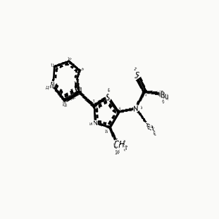 CCC(C)C(=S)N(CC)c1sc(-c2cccnc2)nc1C